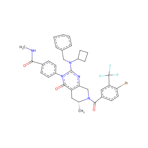 CNC(=O)c1ccc(-n2c(N(Cc3ccccc3)C3CCC3)nc3c(c2=O)C[C@@H](C)N(C(=O)c2ccc(Br)c(C(F)(F)F)c2)C3)cc1